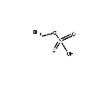 B.COS(=O)(=O)O